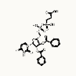 O=C(O)CCP(=O)(O)OP(=O)(O)OC[C@H]1O[C@@H](n2ccc(=O)[nH]c2=O)[C@@H](OC(=O)c2ccccc2)C1OC(=O)c1ccccc1